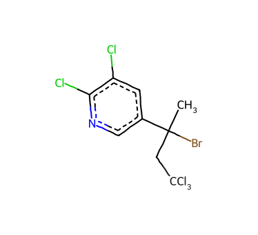 CC(Br)(CC(Cl)(Cl)Cl)c1cnc(Cl)c(Cl)c1